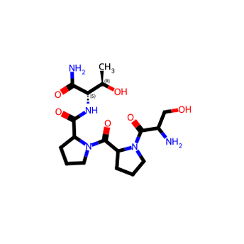 C[C@@H](O)[C@H](NC(=O)C1CCCN1C(=O)C1CCCN1C(=O)C(N)CO)C(N)=O